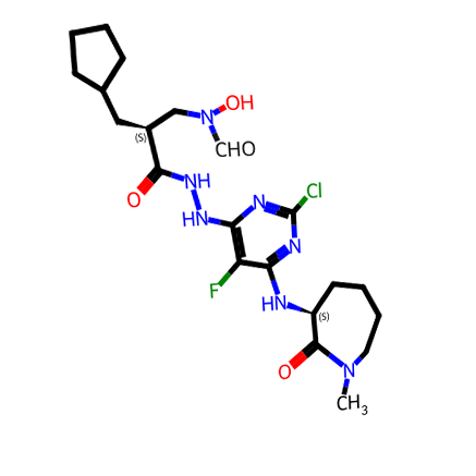 CN1CCCC[C@H](Nc2nc(Cl)nc(NNC(=O)[C@@H](CC3CCCC3)CN(O)C=O)c2F)C1=O